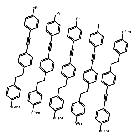 CCCCCc1ccc(C#Cc2ccc(CCc3ccc(CCCCC)cc3)cc2)cc1.CCCCCc1ccc(CCc2ccc(C#Cc3ccc(C)cc3)cc2)cc1.CCCCCc1ccc(CCc2ccc(C#Cc3ccc(CC)cc3)cc2)cc1.CCCCCc1ccc(CCc2ccc(C#Cc3ccc(CCC)cc3)cc2)cc1.CCCCCc1ccc(CCc2ccc(C#Cc3ccc(CCCC)cc3)cc2)cc1